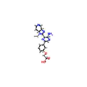 CCn1c(-c2nc(-c3cccc(OCC(=O)O)c3)cnc2N)nc2cnccc21